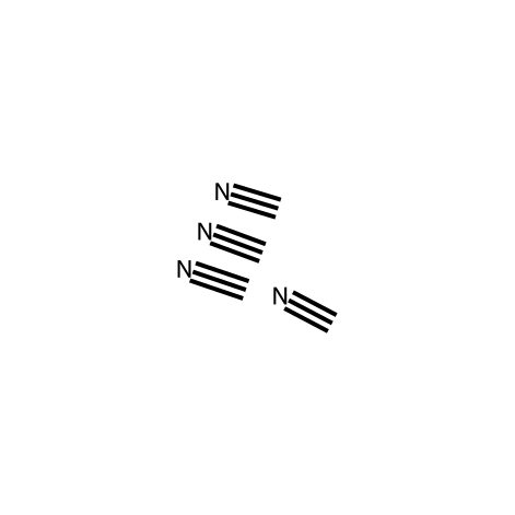 C#N.C#N.C#N.C#N